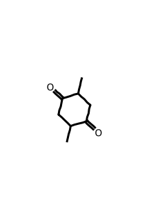 CC1CC(=O)C(C)CC1=O